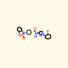 O=C(Nc1ccn(-c2ccccc2F)n1)[C@H]1CC[C@@H](N2c3ccccc3OS2=O)CC1